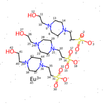 O=S(=O)([O-])CCN1CCN(CCO)CC1.O=S(=O)([O-])CCN1CCN(CCO)CC1.O=S(=O)([O-])CCN1CCN(CCO)CC1.[Eu+3]